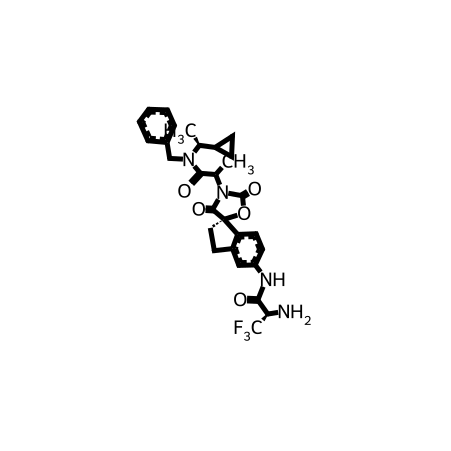 CC(C(=O)N(Cc1ccccc1)[C@@H](C)C1CC1)N1C(=O)O[C@]2(CCc3cc(NC(=O)[C@@H](N)C(F)(F)F)ccc32)C1=O